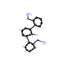 NCc1ccccc1-c1cccc(-c2ccccc2CN)c1I